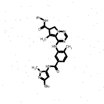 CC1=C2C(Nc3cc(C(=O)Nc4cc(C(C)(C)C)nn4C)ccc3C)=NC=NN2CC1C(=O)NC(C)C